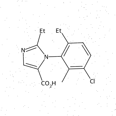 CCc1ccc(Cl)c(C)c1-n1c(C(=O)O)cnc1CC